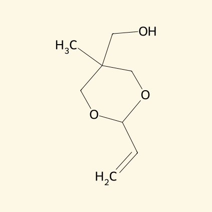 C=CC1OCC(C)(CO)CO1